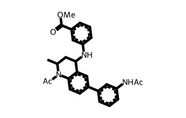 COC(=O)c1cccc(NC2CC(C)N(C(C)=O)c3ccc(-c4cccc(NC(C)=O)c4)cc32)c1